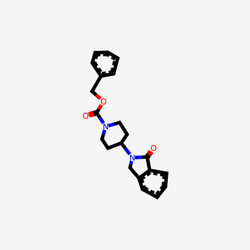 O=C(OCc1ccccc1)N1CCC(N2Cc3ccccc3C2=O)CC1